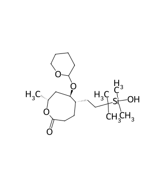 C[C@@H]1C[C@@H](OC2CCCCO2)[C@H](CCC(C)(C)[Si](C)(C)O)CCC(=O)O1